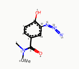 CON(C)C(=O)c1ccc(O)c(N=[N+]=[N-])c1